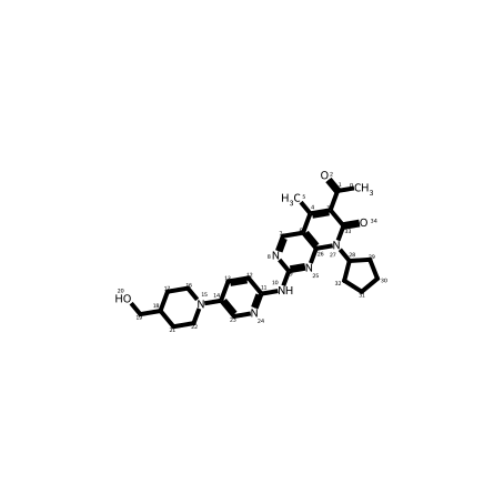 CC(=O)c1c(C)c2cnc(Nc3ccc(N4CCC(CO)CC4)cn3)nc2n(C2CCCC2)c1=O